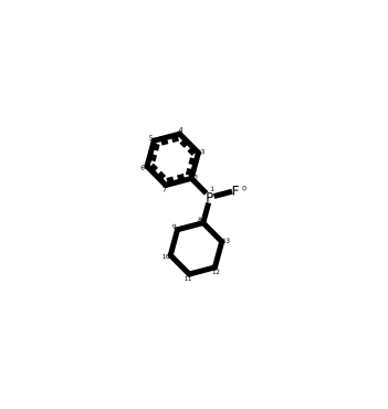 FP(c1ccccc1)C1CCCCC1